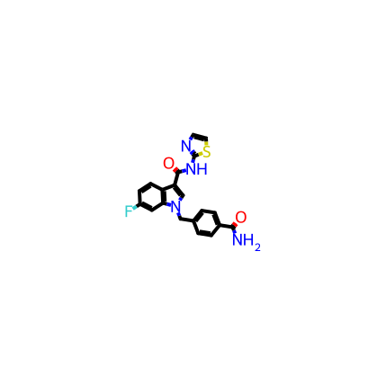 NC(=O)c1ccc(Cn2cc(C(=O)Nc3nccs3)c3ccc(F)cc32)cc1